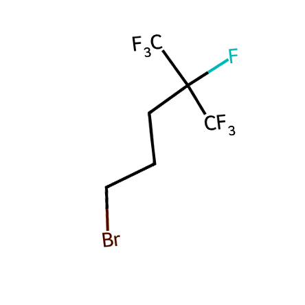 FC(F)(F)C(F)(CCCBr)C(F)(F)F